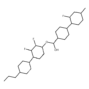 CCCC1CCC(C2CCC(OC(O)C3CCC(C4CCC(C)CC4F)CC3)C(F)C2F)CC1